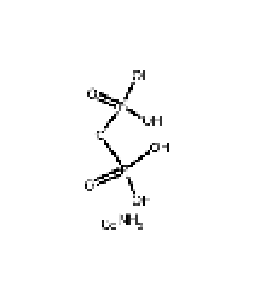 N.O=P(O)(O)OP(=O)(O)O.[Co]